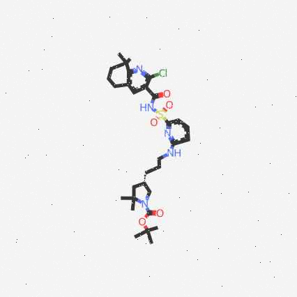 CC(C)(C)OC(=O)N1C[C@@H](CCCNc2cccc(S(=O)(=O)NC(=O)c3cc4c(nc3Cl)C(C)(C)CCC4)n2)CC1(C)C